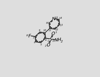 NS(=O)(=O)c1ccc(F)cc1-c1cccnc1